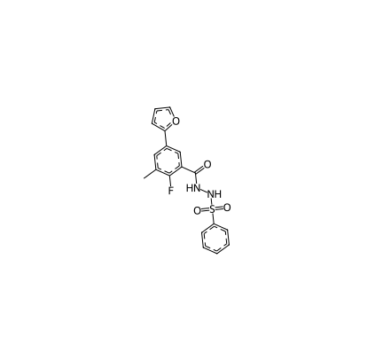 Cc1cc(-c2ccco2)cc(C(=O)NNS(=O)(=O)c2ccccc2)c1F